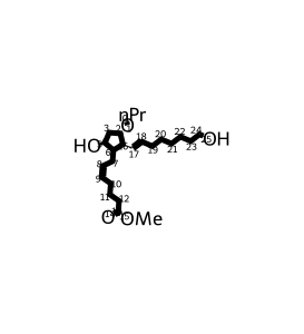 CCCO[C@@H]1C[C@H](O)C(C/C=C\CCCC(=O)OC)[C@H]1/C=C/CCCCCCO